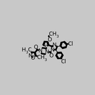 CCOc1ccsc1C1=N[C@@H](c2ccc(Cl)cc2)[C@@H](c2ccc(Cl)cc2)N1C(=O)N1CCN(C(=O)c2c(C)noc2C)CC1